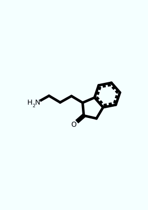 NCCCC1C(=O)Cc2ccccc21